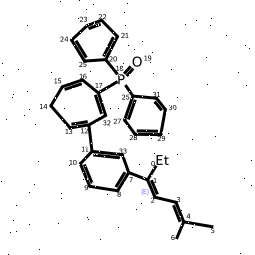 CC/C(=C\C=C(C)C)c1cccc(C2=CCC=CC(P(=O)(c3ccccc3)c3ccccc3)=C2)c1